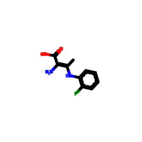 C/C(Nc1ccccc1F)=C(/N)C(=O)O